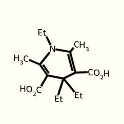 CCN1C(C)=C(C(=O)O)C(CC)(CC)C(C(=O)O)=C1C